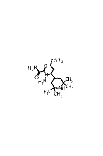 CCCC(C1CC(C)(C)NC(C)(C)C1)N(N)C(=O)C(N)=O